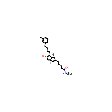 Cc1cccc(CC/C=C/[C@@H]2[C@H]3CC(CCCCC(=O)N(C)C(C)(C)C)=C[C@H]3C[C@H]2O)c1